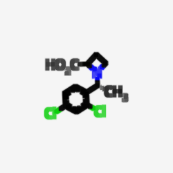 C[C@H](c1ccc(Cl)cc1Cl)N1CCC1C(=O)O